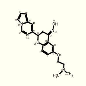 CN(C)CCOc1ccc2c(c1)C(=NO)CC(c1cc3cccn3cn1)O2